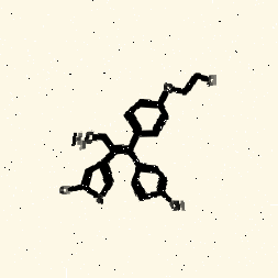 CCC(=C(c1ccc(O)cc1)c1ccc(OCCCl)cc1)c1csc(Cl)c1